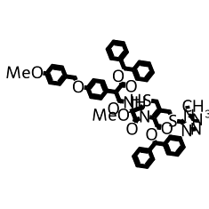 COc1ccc(COc2ccc(C(C(=O)N[C@]3(OC)C(=O)N4C(C(=O)OC(c5ccccc5)c5ccccc5)=C(CSc5nnnn5C)CS[C@H]43)C(=O)OC(c3ccccc3)c3ccccc3)cc2)cc1